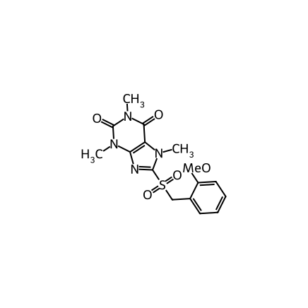 COc1ccccc1CS(=O)(=O)c1nc2c(c(=O)n(C)c(=O)n2C)n1C